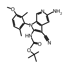 COc1ccc(C)c(-n2c(NC(=O)OC(C)(C)C)c(C#N)c3cc(N)ncc32)c1C